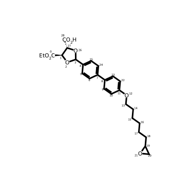 CCOC(=O)[C@@H]1OC(c2ccc(-c3ccc(OCCCCCCC4CO4)cc3)cc2)O[C@H]1C(=O)O